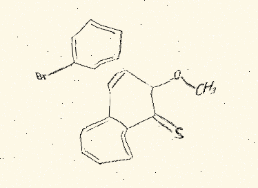 Brc1ccccc1.COC1C=Cc2ccccc2C1=S